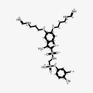 Cc1c(S(=O)(=O)NCP(=O)(O)Oc2ccc(C#N)c(F)c2)sc2cc(OCCCNC=N)c(OCCCNC=N)cc12